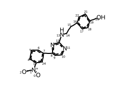 O=[N+]([O-])c1cccc(-c2ccnc(NCCc3ccc(O)cc3)n2)c1